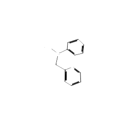 O=CN(Cc1ccccn1)c1ccccc1